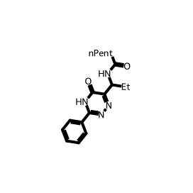 CCCCCC(=O)NC(CC)c1nnc(-c2ccccc2)[nH]c1=O